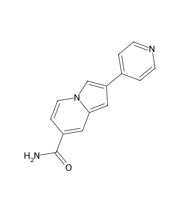 NC(=O)c1ccn2cc(-c3ccncc3)cc2c1